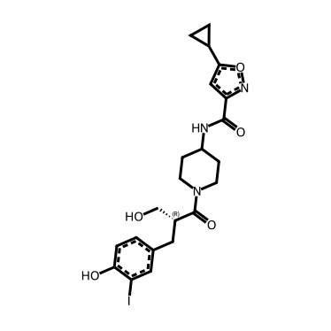 O=C(NC1CCN(C(=O)[C@@H](CO)Cc2ccc(O)c(I)c2)CC1)c1cc(C2CC2)on1